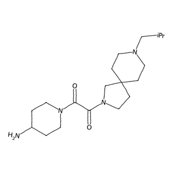 CC(C)CN1CCC2(CC1)CCN(C(=O)C(=O)N1CCC(N)CC1)C2